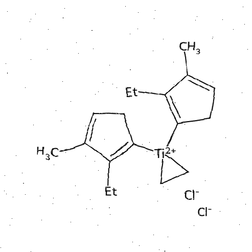 CCC1=[C]([Ti+2]2([C]3=C(CC)C(C)=CC3)[CH2][CH2]2)CC=C1C.[Cl-].[Cl-]